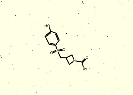 CC(C)C(=O)N1CC(CS(=O)(=O)c2ccc(O)cc2)C1